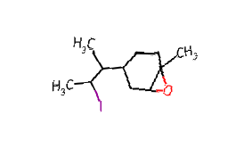 CC(I)C(C)C1CCC2(C)OC2C1